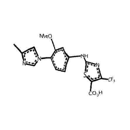 COc1cc(Nc2nc(C(F)(F)F)c(C(=O)O)s2)ccc1-n1cnc(C)c1